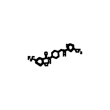 O=C(NC1CCC(CNc2cc(C(F)(F)F)ccn2)CC1)c1cc(C(F)(F)F)ccc1Cl